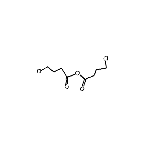 O=C(CCCCl)OC(=O)CCCCl